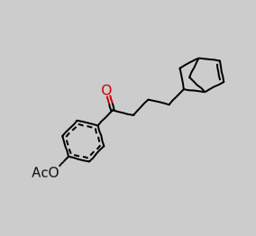 CC(=O)Oc1ccc(C(=O)CCCC2CC3C=CC2C3)cc1